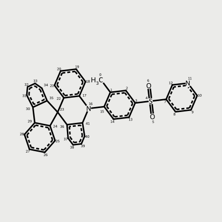 Cc1cc(S(=O)(=O)c2cccnc2)ccc1N1c2ccccc2C2(c3ccccc3-c3ccccc32)c2ccccc21